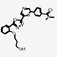 CN(C)C(=O)c1ccc(-c2cncc(-c3nnc(-c4ccccc4OCCCO)o3)n2)cc1